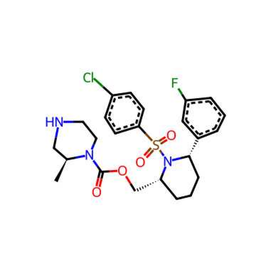 C[C@H]1CNCCN1C(=O)OC[C@H]1CCC[C@@H](c2cccc(F)c2)N1S(=O)(=O)c1ccc(Cl)cc1